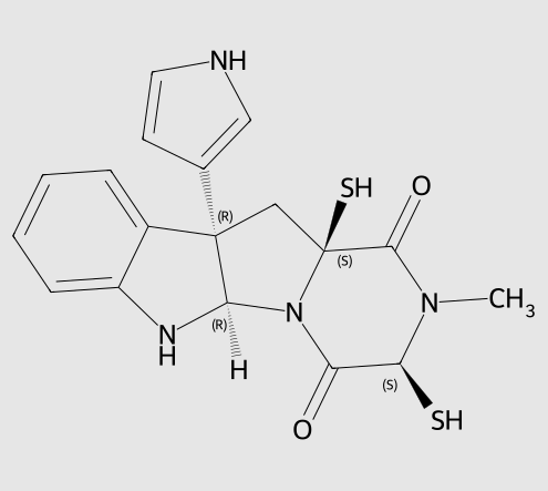 CN1C(=O)[C@@]2(S)C[C@]3(c4cc[nH]c4)c4ccccc4N[C@@H]3N2C(=O)[C@@H]1S